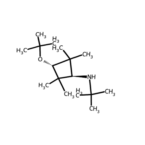 CC(C)(C)N[C@H]1C(C)(C)[C@H](OC(C)(C)C)C1(C)C